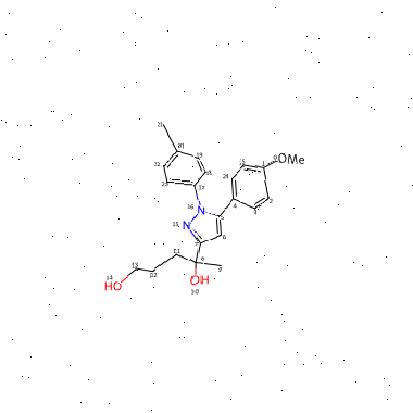 COc1ccc(-c2cc(C(C)(O)CCCO)nn2-c2ccc(C)cc2)cc1